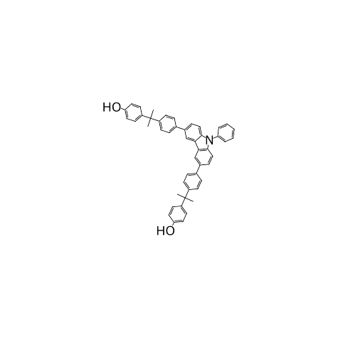 CC(C)(c1ccc(O)cc1)c1ccc(-c2ccc3c(c2)c2cc(-c4ccc(C(C)(C)c5ccc(O)cc5)cc4)ccc2n3-c2ccccc2)cc1